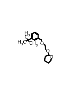 CC(C)(C)c1c[c]cc(COCCOC2CCCCO2)c1